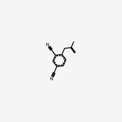 C=C(C)Cc1ccc(C#N)cc1C#N